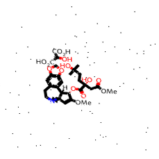 COC(=O)C[C@](O)(CCC(C)(C)O)C(=O)O[C@@H]1C(OC)=C[C@]23CCCN2CCc2cc4c(cc2[C@H]13)OCO4.O=C(O)C(O)C(=O)O